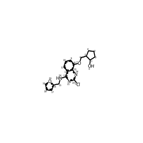 OC1CCCC1COc1cccc2c(NCc3ccco3)nc(Cl)nc12